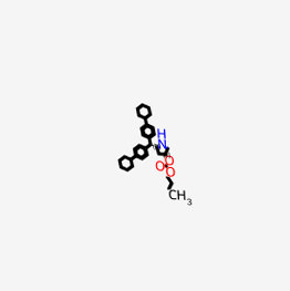 CCCCOC(=O)O[C@H]1CN[C@@H](C(c2ccc(C3CCCCC3)cc2)c2ccc(C3CCCCC3)cc2)C1